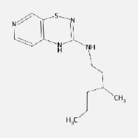 CCCC(C)CCNC1=NSc2cnccc2N1